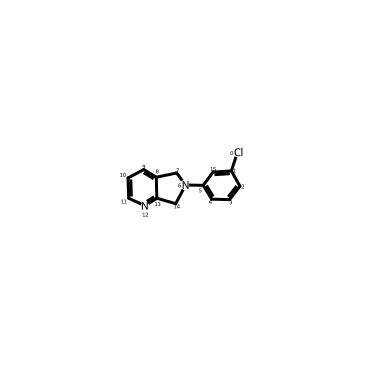 Clc1cccc(N2Cc3cccnc3C2)c1